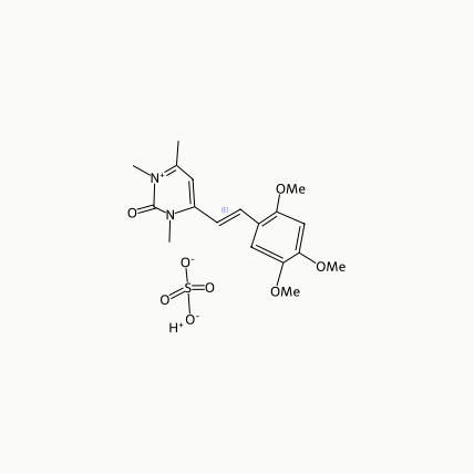 COc1cc(OC)c(OC)cc1/C=C/c1cc(C)[n+](C)c(=O)n1C.O=S(=O)([O-])[O-].[H+]